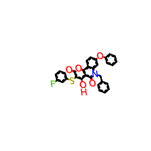 O=c1oc2c(c(O)c1Sc1cccc(F)c1)c(=O)n(Cc1ccccc1)c1cc(Oc3ccccc3)ccc21